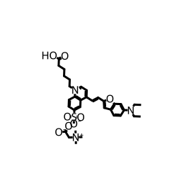 CCN(CC)c1ccc2cc(/C=C/c3cc[n+](CCCCCC(=O)O)c4ccc(S(=O)(=O)[O-])cc34)oc2c1.C[N+](C)(C)CC(=O)[O-]